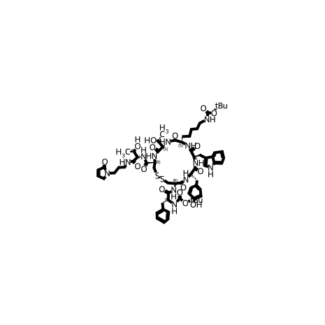 C[C@@H](O)[C@H](NC(=O)[C@@H]1CSSC[C@H](NC(=O)[C@@H](Cc2ccccc2)NC(=O)OC(C)(C)C)C(=O)N[C@@H](Cc2ccc(O)cc2)C(=O)N[C@H](Cc2c[nH]c3ccccc23)C(=O)N[C@@H](CCCCCNC(=O)OC(C)(C)C)C(=O)N[C@@H]([C@@H](C)O)C(=O)N1)C(=O)NCCCN1CC=CC1=O